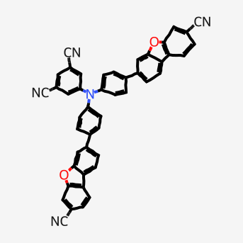 N#Cc1cc(C#N)cc(N(c2ccc(-c3ccc4c(c3)oc3cc(C#N)ccc34)cc2)c2ccc(-c3ccc4c(c3)oc3cc(C#N)ccc34)cc2)c1